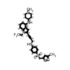 Cc1cc(CS(=O)(=O)c2ccc(NCC#Cc3cc4c(NC5CCN(C)CC5)cccc4n3CC(F)(F)F)cc2)no1